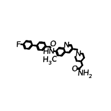 Cc1cc2cc(CN3CCC(CC(N)=O)CC3)cnc2cc1NC(=O)c1ccc(-c2ccc(F)cc2)cc1